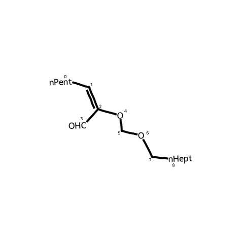 CCCCC/C=C(\C=O)OCOCCCCCCCC